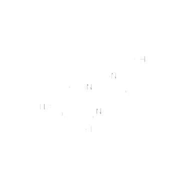 COc1c(Cl)nc(-c2nc(C)cs2)nc1Cl